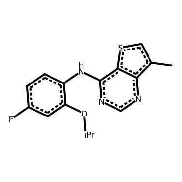 Cc1csc2c(Nc3ccc(F)cc3OC(C)C)ncnc12